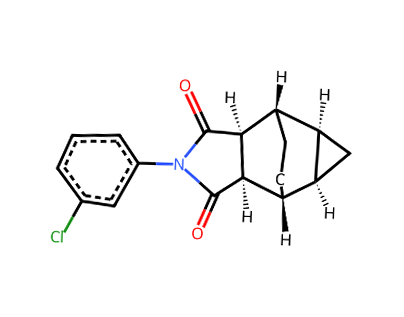 O=C1[C@@H]2[C@@H]3CC[C@@H]([C@H]4C[C@H]43)[C@@H]2C(=O)N1c1cccc(Cl)c1